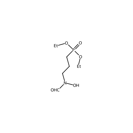 CCOP(=O)(CCCN(O)C=O)OCC